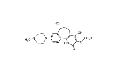 CN1CCN(c2ccc3c(c2)CCCc2c-3[nH]c(=O)c(OC(=O)O)c2O)CC1.Cl